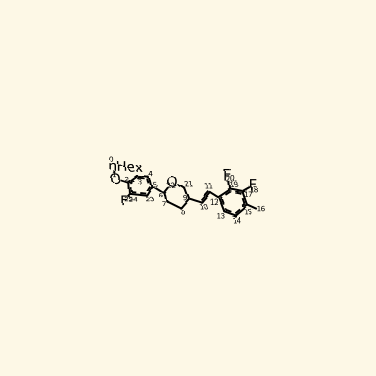 CCCCCCOc1ccc(C2CCC(/C=C/c3ccc(C)c(F)c3F)CO2)cc1F